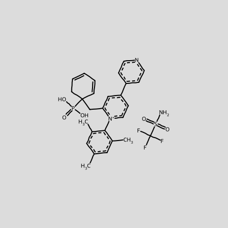 Cc1cc(C)c(-[n+]2ccc(-c3ccncc3)cc2CC2(P(=O)(O)O)C=CC=CC2)c(C)c1.NS(=O)(=O)C(F)(F)F